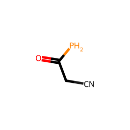 N#CCC(=O)P